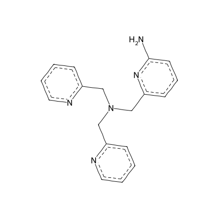 Nc1cccc(CN(Cc2ccccn2)Cc2ccccn2)n1